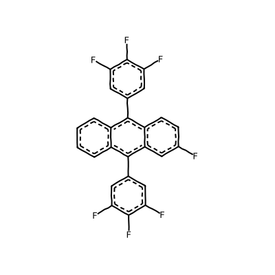 Fc1ccc2c(-c3cc(F)c(F)c(F)c3)c3ccccc3c(-c3cc(F)c(F)c(F)c3)c2c1